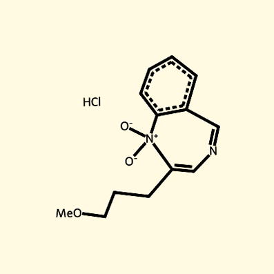 COCCCC1=CN=Cc2ccccc2[N+]1([O-])[O-].Cl